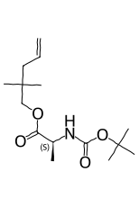 C=CCC(C)(C)COC(=O)[C@H](C)NC(=O)OC(C)(C)C